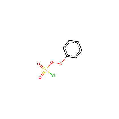 O=S(=O)(Cl)OOc1ccccc1